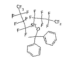 CC([O][Sn]([C](F)(F)C(F)(F)C(F)(F)C(F)(F)F)[C](F)(F)C(F)(F)C(F)(F)C(F)(F)F)(c1ccccc1)c1ccccc1